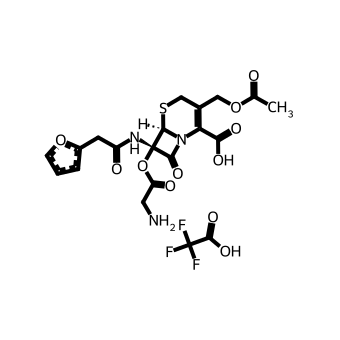 CC(=O)OCC1=C(C(=O)O)N2C(=O)[C@](NC(=O)Cc3ccco3)(OC(=O)CN)[C@H]2SC1.O=C(O)C(F)(F)F